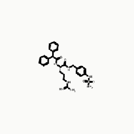 N=C(N)NCCC[C@@H](NC(=O)C(c1ccccc1)c1ccccc1)C(=O)NCc1ccc(NS(N)(=O)=O)cc1